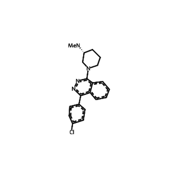 CN[C@@H]1CCCN(c2nnc(-c3ccc(Cl)cc3)c3ccccc23)C1